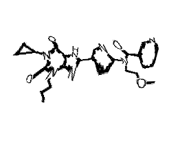 CCCn1c(=O)n(C2CC2)c(=O)c2[nH]c(-c3ccc(N(CCOC)C(=O)c4cccnc4)nc3)nc21